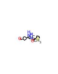 CC(C)(C(=O)NCC(N)C1CCC(C=O)CC1)c1cccs1